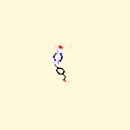 COC(=O)Cc1ccc(CN2CCN(C(=O)O)CC2)cc1